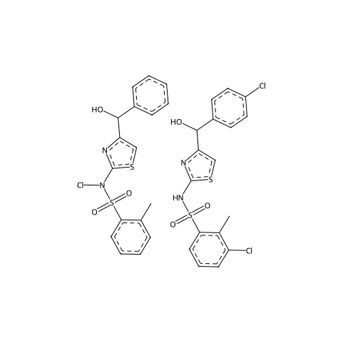 Cc1c(Cl)cccc1S(=O)(=O)Nc1nc(C(O)c2ccc(Cl)cc2)cs1.Cc1ccccc1S(=O)(=O)N(Cl)c1nc(C(O)c2ccccc2)cs1